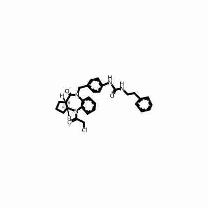 O=C(NCCc1ccccc1)Nc1ccc(CN2C(=O)[C@H]3CCC[C@H]3N(C(=O)CCl)c3ccccc32)cc1